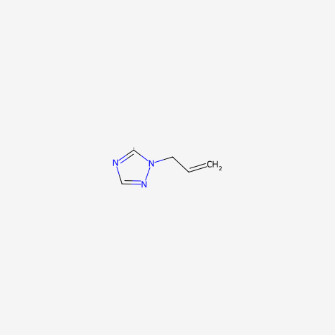 C=CCn1[c]ncn1